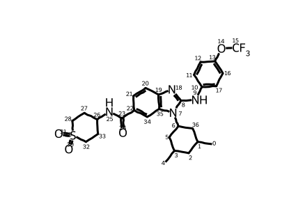 CC1CC(C)CC(n2c(Nc3ccc(OC(F)(F)F)cc3)nc3ccc(C(=O)NC4CCS(=O)(=O)CC4)cc32)C1